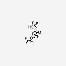 C=C(F)C(=O)OCC(F)(F)C(=O)OCC(F)(F)S